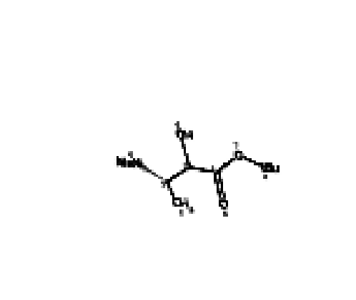 CN[C@@H](C)C(O)C(=O)OC(C)(C)C